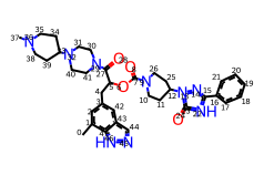 Cc1cc(CC(OC(=O)N2CCC(n3nc(-c4ccccc4)[nH]c3=O)CC2)C(=O)N2CCN(C3CCN(C)CC3)CC2)cc2cn[nH]c12